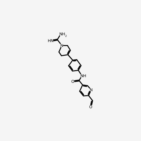 N=C(N)N1CC=C(c2ccc(NC(=O)c3ccc(C=O)nc3)cc2)CC1